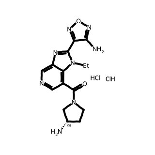 CCn1c(-c2nonc2N)nc2cncc(C(=O)N3CC[C@H](N)C3)c21.Cl.Cl